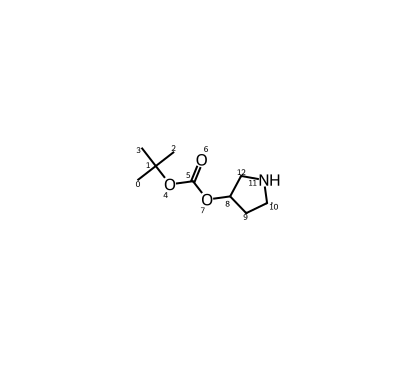 CC(C)(C)OC(=O)OC1C[CH]NC1